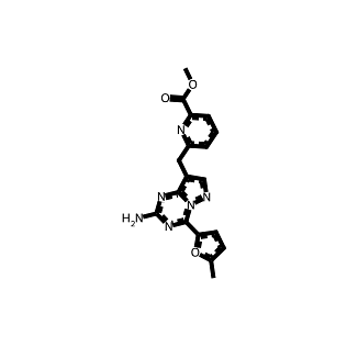 COC(=O)c1cccc(Cc2cnn3c(-c4ccc(C)o4)nc(N)nc23)n1